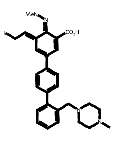 CN/N=C1/C(C(=O)O)=CC(c2ccc(-c3ccccc3CN3CCN(C)CC3)cc2)=C/C1=C\CI